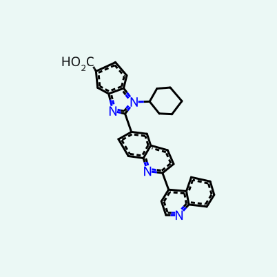 O=C(O)c1ccc2c(c1)nc(-c1ccc3nc(-c4ccnc5ccccc45)ccc3c1)n2C1CCCCC1